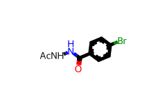 CC(=O)NNC(=O)c1ccc(Br)cc1